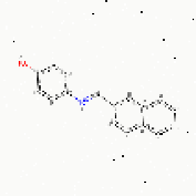 Oc1ccc(/N=C/c2ccc3ccccc3c2)cc1